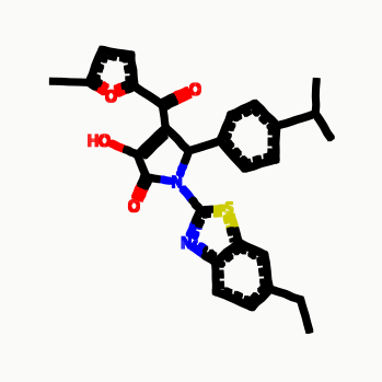 CCc1ccc2nc(N3C(=O)C(O)=C(C(=O)c4ccc(C)o4)C3c3ccc(C(C)C)cc3)sc2c1